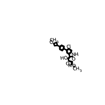 COc1cc(C(O)=C2C(=O)Nc3cc(Cl)c(-c4ccc(C5CC(OC)C5)cc4)cc32)on1